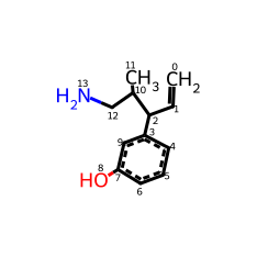 C=CC(c1cccc(O)c1)C(C)CN